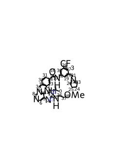 C/C=N\C(=N/c1cncnc1Nc1cc(C(=O)Nc2cc(CN3CCCC3)cc(C(F)(F)F)c2)ccc1C)NCCOC